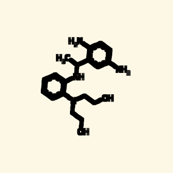 CC(Nc1ccccc1N(CCO)CCO)c1cc(N)ccc1N